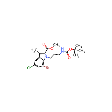 COC(=O)c1c(C)c2cc(Cl)cc(Br)c2n1CCCNC(=O)OC(C)(C)C